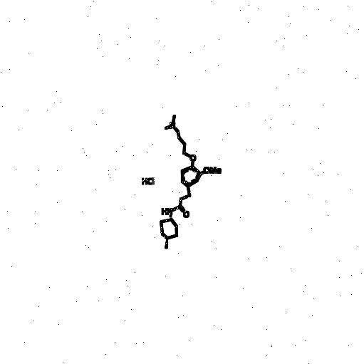 COc1cc(CCC(=O)N[C@H]2CC[C@H](C)CC2)ccc1OCCCCN(C)C.Cl